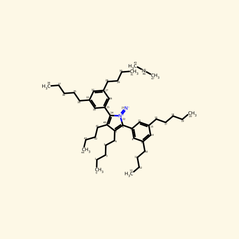 CCCCCC1=C(c2cc(CCCC)cc(CCCCC)c2)[N+](=[N-])C(c2cc(CCCC)cc(CCCCC)c2)=C1CCCC.[CH3][Ni][CH3]